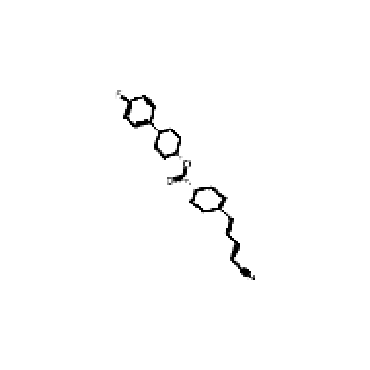 N#CC=CC=C[C@H]1CC[C@H](C(=O)O[C@H]2CC[C@H](c3ccc(F)cc3)CC2)CC1